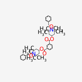 CC1(C)CC(OC(=O)c2cccc(C(=O)OC3CC(C)(C)N(OCc4ccccc4)C(C)(C)C3)c2)CC(C)(C)N1OCc1ccccc1